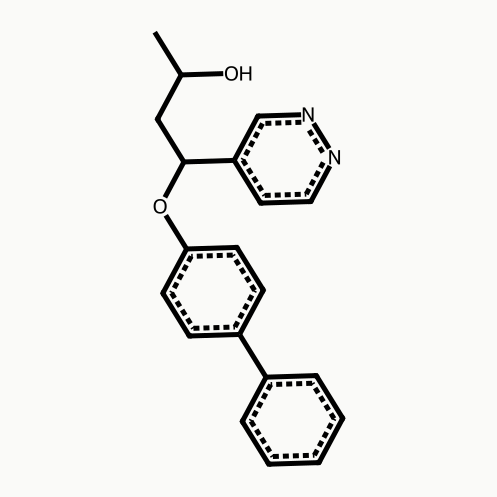 CC(O)CC(Oc1ccc(-c2ccccc2)cc1)c1ccnnc1